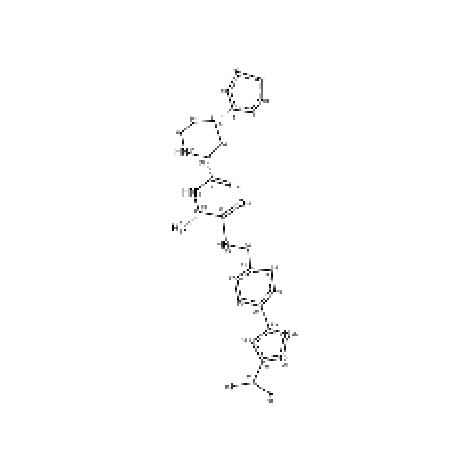 C[C@H](NC(=O)[C@H]1C[C@@H](c2ccccc2)CCN1)C(=O)NCc1ccc(-c2noc(C(F)F)n2)cc1